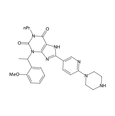 CCCn1c(=O)c2[nH]c(-c3ccc(N4CCNCC4)nc3)nc2n(C(C)c2ccccc2OC)c1=O